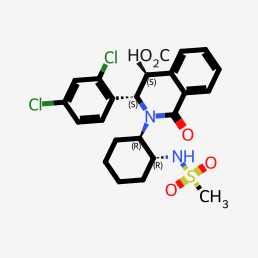 CS(=O)(=O)N[C@@H]1CCCC[C@H]1N1C(=O)c2ccccc2[C@H](C(=O)O)[C@H]1c1ccc(Cl)cc1Cl